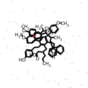 CCCC(CC(=O)O)Cc1c(CCc2ccc(O)cc2)c(-c2ccc(OC)cc2)c(C(c2ccc(OC)cc2)C(C)C)c(C([C](C)CCc2ccccc2)(c2ccc(OC)cc2)C(C)c2ccccc2)c1Cc1c[nH]c2ccccc12